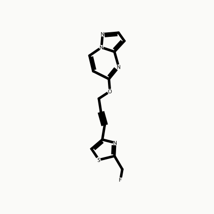 FCc1nc(C#CCOc2ccn3nccc3n2)cs1